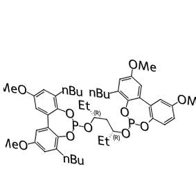 CCCCc1cc(OC)cc2c1op(O[C@H](CC)C[C@@H](CC)Op1oc3c(CCCC)cc(OC)cc3c3cc(OC)cc(CCCC)c3o1)oc1ccc(OC)cc12